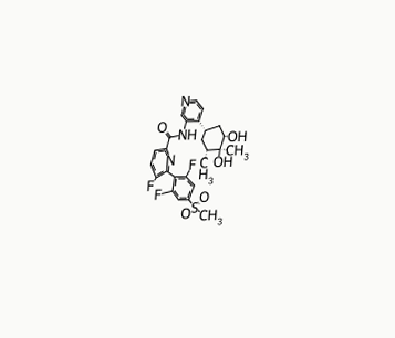 C[C@@H]1C[C@H](c2ccncc2NC(=O)c2ccc(F)c(-c3c(F)cc(S(C)(=O)=O)cc3F)n2)C[C@H](O)[C@@]1(C)O